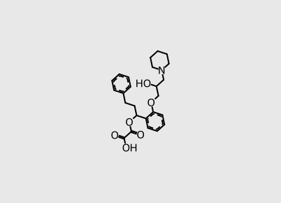 O=C(O)C(=O)OC(CCc1ccccc1)c1ccccc1OCC(O)CN1CCCCC1